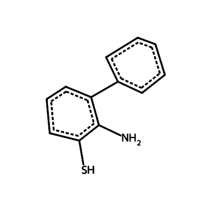 Nc1c(S)cccc1-c1ccccc1